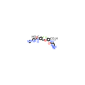 O=C(Nc1cc(CCOc2cc(NC(=O)c3ccc4nnnn4n3)c(C(=O)O)cc2F)c(F)cc1C(=O)O)c1ccc(-n2ccnc2)nn1